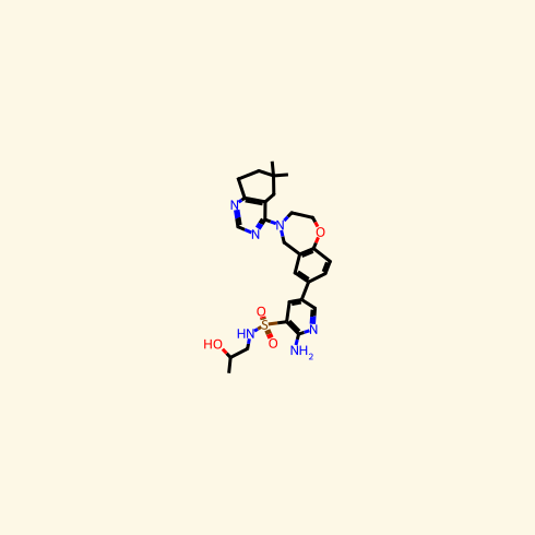 CC(O)CNS(=O)(=O)c1cc(-c2ccc3c(c2)CN(c2ncnc4c2CC(C)(C)CC4)CCO3)cnc1N